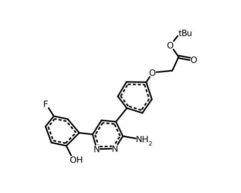 CC(C)(C)OC(=O)COc1ccc(-c2cc(-c3cc(F)ccc3O)nnc2N)cc1